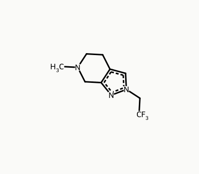 CN1CCc2cn(CC(F)(F)F)nc2C1